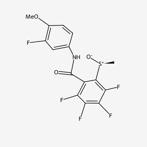 COc1ccc(NC(=O)c2c(F)c(F)c(F)c(F)c2[S@+](C)[O-])cc1F